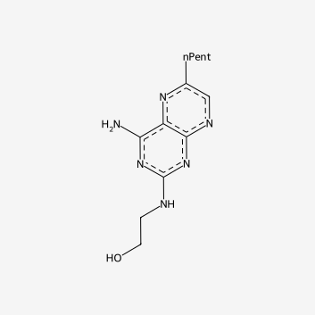 CCCCCc1cnc2nc(NCCO)nc(N)c2n1